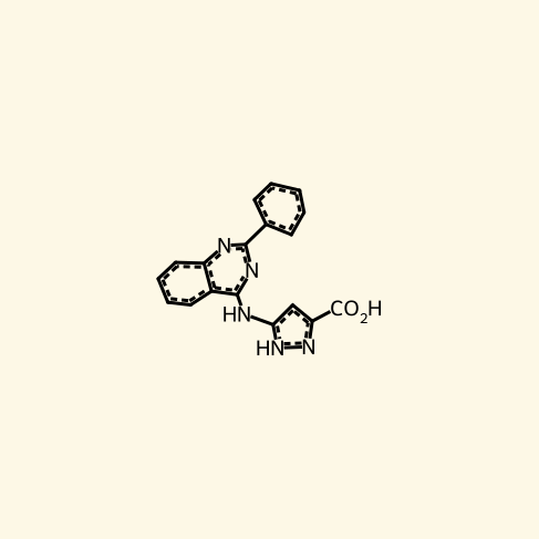 O=C(O)c1cc(Nc2nc(-c3ccccc3)nc3ccccc23)[nH]n1